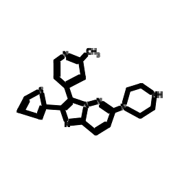 Cc1cc(-c2c(-c3cccs3)nc3ccc(N4CCNCC4)nn23)ccn1